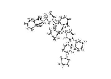 c1ccc(-c2ccc(-c3cccc(-c4c5ccccc5c(-c5cccc(-c6nc7ccccc7o6)c5)c5ccccc45)c3)c(-c3ccccc3)c2)cc1